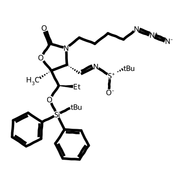 CC[C@@H](O[Si](c1ccccc1)(c1ccccc1)C(C)(C)C)[C@@]1(C)OC(=O)N(CCCCN=[N+]=[N-])[C@@H]1/C=N/[S@@+]([O-])C(C)(C)C